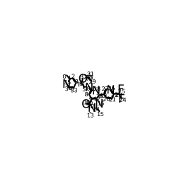 Cc1cc([C@H]2CN(c3cc4c(=O)n(C)c(C)nc4c(-c4ccc(C(F)F)nc4)n3)C[C@@H](C)O2)ccn1